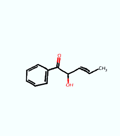 CC=CC(O)C(=O)c1ccccc1